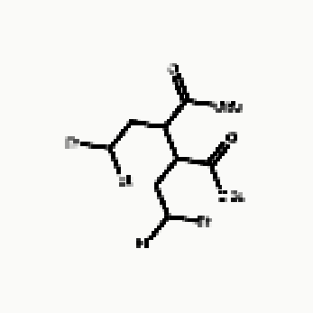 CCC(CC)CC(C(=O)OCC(C)C)C(CC(CC)CC)C(=O)OCC(C)C